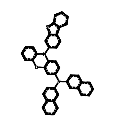 c1ccc2c(c1)Oc1cc(N(c3ccc4ccccc4c3)c3ccc4ccccc4c3)ccc1N2c1ccc2c(c1)sc1ccccc12